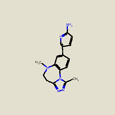 Cc1nnc2n1-c1ccc(-c3ccc(N)nc3)cc1N(C)CC2